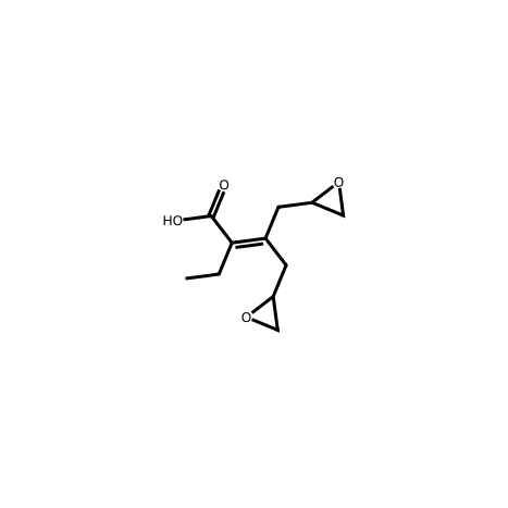 CCC(C(=O)O)=C(CC1CO1)CC1CO1